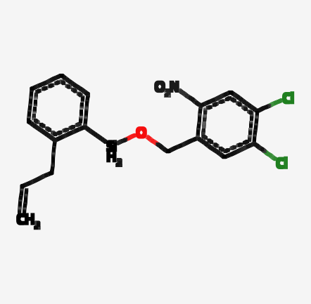 C=CCc1ccccc1[SiH2]OCc1cc(Cl)c(Cl)cc1[N+](=O)[O-]